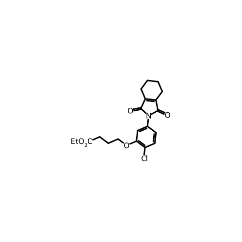 CCOC(=O)CCCOc1cc(N2C(=O)C3=C(CCCC3)C2=O)ccc1Cl